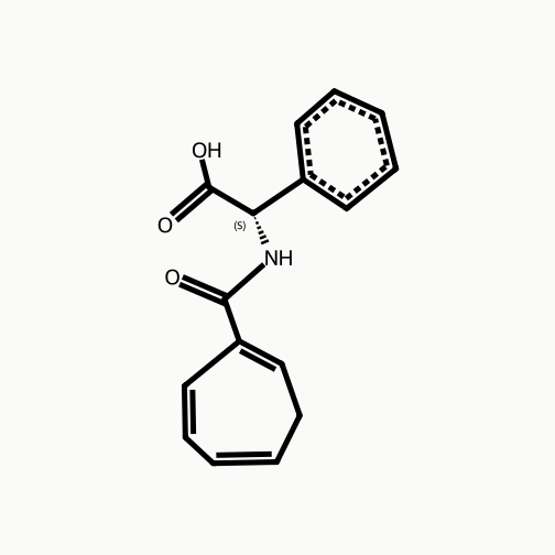 O=C(N[C@H](C(=O)O)c1ccccc1)C1=CCC=CC=C1